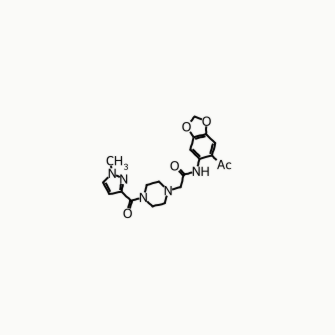 CC(=O)c1cc2c(cc1NC(=O)CN1CCN(C(=O)c3ccn(C)n3)CC1)OCO2